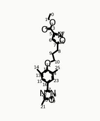 CCOC(=O)c1cc(CCCOc2c(C)cc(-c3noc(C)n3)cc2C)on1